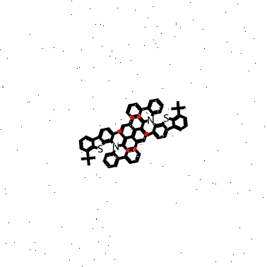 Cc1ccc2c(sc3c(C(C)(C)C)cccc32)c1N(c1ccccc1-c1ccccc1)c1ccc2ccc3c(N(c4ccccc4-c4ccccc4)c4c(C)ccc5c4sc4c(C(C)(C)C)cccc45)ccc4ccc1c2c43